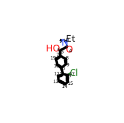 CCN(C)C(=O)C(O)c1ccc(-c2ccccc2Cl)cc1